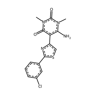 Cn1c(N)c(-c2csc(-c3cccc(Cl)c3)n2)c(=O)n(C)c1=O